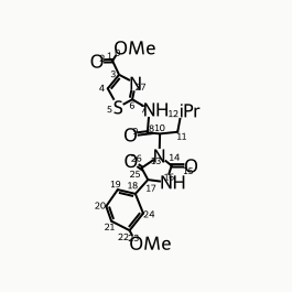 COC(=O)c1csc(NC(=O)C(CC(C)C)N2C(=O)NC(c3cccc(OC)c3)C2=O)n1